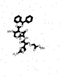 CSC1=C(C(=O)OC(c2ccccc2)c2ccccc2)N2C(=O)C(NC(=O)C(=NOCC(=O)OC(C)(C)C)c3csc(N)n3)[C@@H]2SC1